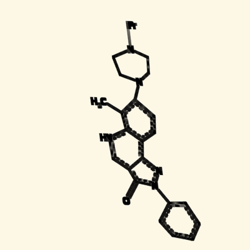 Cc1c(N2CCN(C(C)C)CC2)ccc2c3nn(-c4ccccc4)c(=O)c-3c[nH]c12